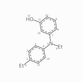 CCc1ccc(N(CC)c2cccc(O)c2)cc1